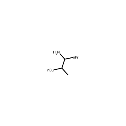 CCCCC(C)C(N)CCC